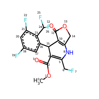 COC(=O)C1=C(CF)NC2=C(C(=O)OC2)C1c1cc(F)cc(F)c1C(F)F